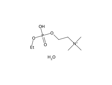 CCOP(=O)(O)OCC[N+](C)(C)C.O